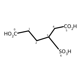 O=C(O)CCC(CC(=O)O)S(=O)(=O)O